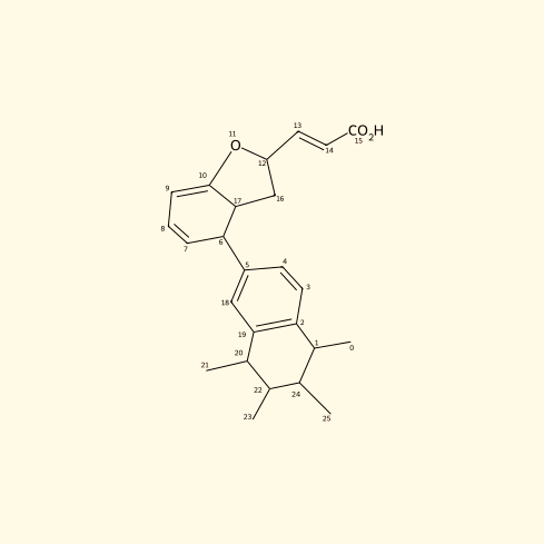 CC1c2ccc(C3C=CC=C4OC(C=CC(=O)O)CC43)cc2C(C)C(C)C1C